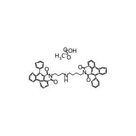 CS(=O)(=O)O.O=C1c2cccc3c2c(c(-c2ccccc2)c2ccccc23)C(=O)N1CCCCNCCCN1C(=O)c2cccc3c2c(c(-c2ccccc2)c2ccccc23)C1=O